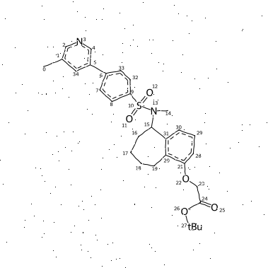 Cc1cncc(-c2ccc(S(=O)(=O)N(C)C3CCCCc4c(OCC(=O)OC(C)(C)C)cccc43)cc2)c1